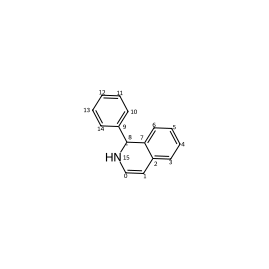 C1=Cc2ccccc2[C](c2ccccc2)N1